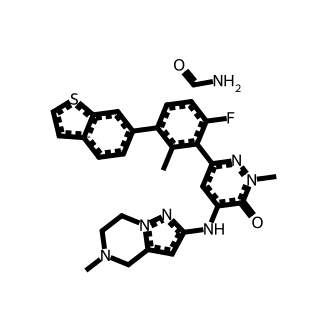 Cc1c(-c2ccc3ccsc3c2)ccc(F)c1-c1cc(Nc2cc3n(n2)CCN(C)C3)c(=O)n(C)n1.NC=O